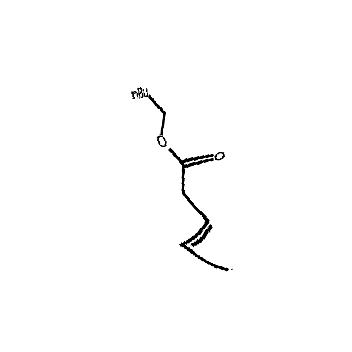 [CH2]C=CCC(=O)OCCCCC